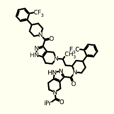 CC(C)C(=O)N1CCc2[nH]nc(C(=O)N3CCC(c4ccccc4C(F)(F)F)CC3CC(C)N3CCc4[nH]nc(C(=O)N5CCC(c6ccccc6C(F)(F)F)CC5)c4C3)c2C1